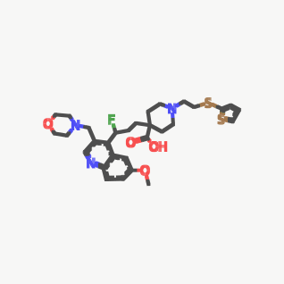 COc1ccc2ncc(CN3CCOCC3)c(C(F)CCC3(C(=O)O)CCN(CCSc4cccs4)CC3)c2c1